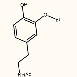 CCOc1cc(CCNC(C)=O)ccc1O